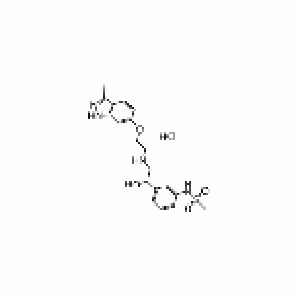 Cc1n[nH]c2cc(OCCNCC(O)c3cccc(NS(C)(=O)=O)c3)ccc12.Cl